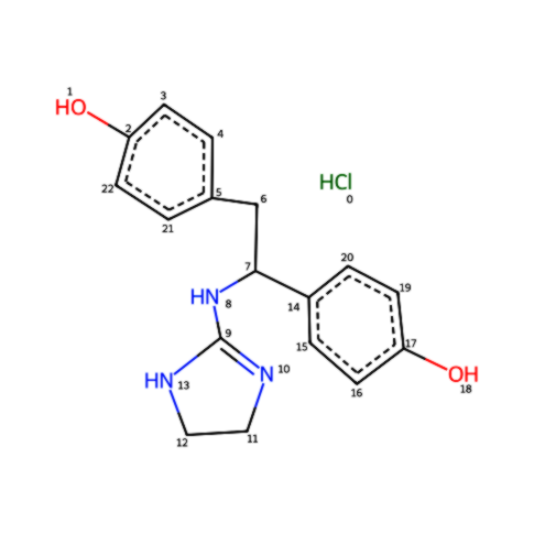 Cl.Oc1ccc(CC(NC2=NCCN2)c2ccc(O)cc2)cc1